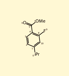 [CH2]C(C)c1ccc(C(=O)OC)c(F)c1